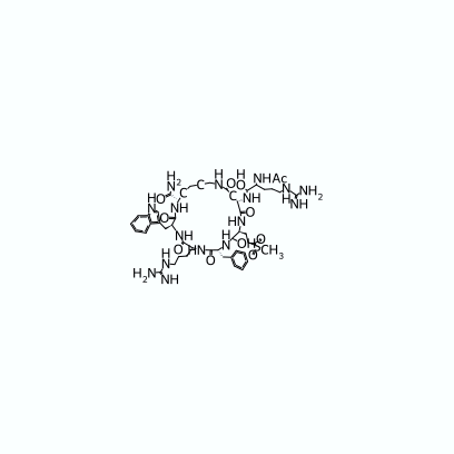 CC(=O)N[C@@H](CCCNC(=N)N)C(O)N[C@H]1CC(=O)NCCCC[C@@H](C(N)=O)NC(=O)[C@H](Cc2c[nH]c3ccccc23)NC(=O)[C@H](CCCNC(=N)N)NC(=O)[C@@H](Cc2ccccc2)NC(O)[C@H](CCS(C)(=O)=O)NC1=O